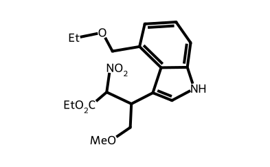 CCOCc1cccc2[nH]cc(C(COC)C(C(=O)OCC)[N+](=O)[O-])c12